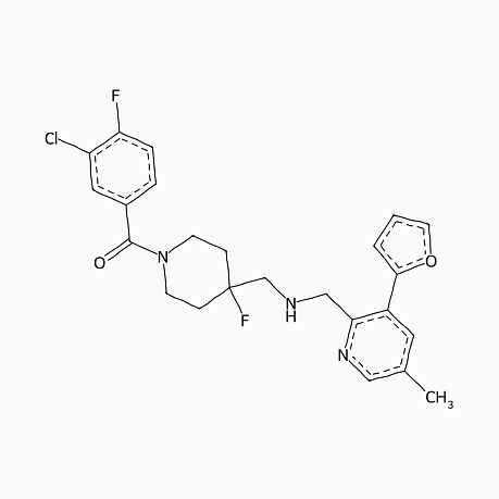 Cc1cnc(CNCC2(F)CCN(C(=O)c3ccc(F)c(Cl)c3)CC2)c(-c2ccco2)c1